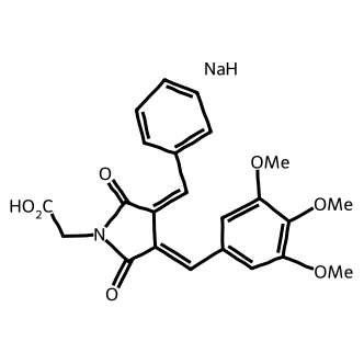 COc1cc(C=C2C(=O)N(CC(=O)O)C(=O)C2=Cc2ccccc2)cc(OC)c1OC.[NaH]